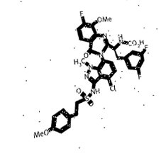 COc1ccc(CCS(=O)(=O)Nc2nn(C)c3c(-n4c([C@H](Cc5cc(F)cc(F)c5)NC(=O)O)nc5c(OC)c(F)ccc5c4=O)ccc(Cl)c23)cc1